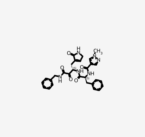 Cn1cc(C(=O)N[C@@H](Cc2ccccc2)C(=O)N[C@@H](CC2=CCNC2=O)C(=O)C(=O)NCc2ccccc2)cn1